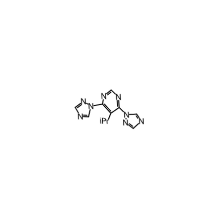 CC(C)c1c(-n2cncn2)ncnc1-n1cncn1